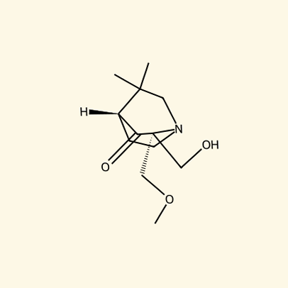 COC[C@]1(CO)C(=O)[C@@H]2CCN1CC2(C)C